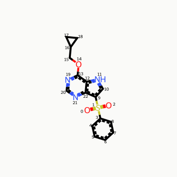 O=S(=O)(c1ccccc1)c1c[nH]c2c(OCC3CC3)ncnc12